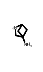 NC12CNC(C1)C2